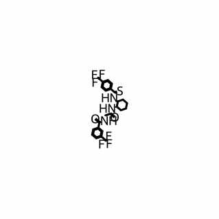 O=C(CNC(=O)c1cccc(C(F)(F)F)c1)N[C@@H]1CCCC[C@@H]1NC(=S)c1ccc(C(F)(F)F)cc1